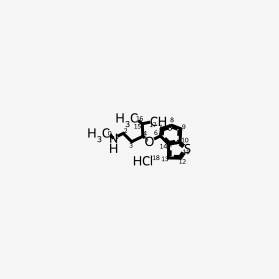 CNCCC(Oc1cccc2sccc12)C(C)C.Cl